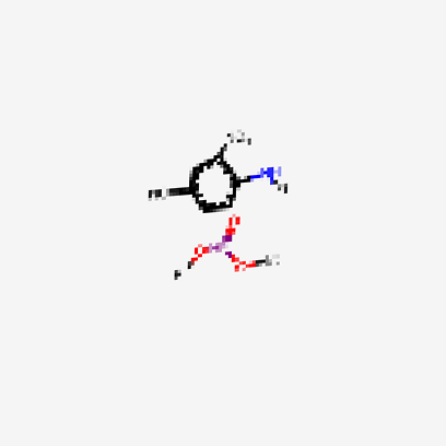 CCNc1ccc(C#N)cc1[N+](=O)[O-].CCO[PH](=O)OCC